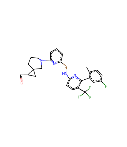 Cc1ccc(F)cc1-c1nc(NSc2cccc(N3CCCC4(CC4C=O)C3)n2)ccc1C(F)(F)F